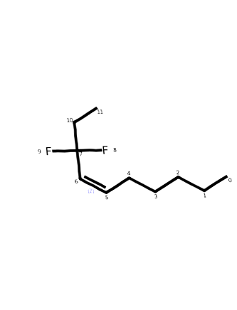 CCCCC/C=C\C(F)(F)CC